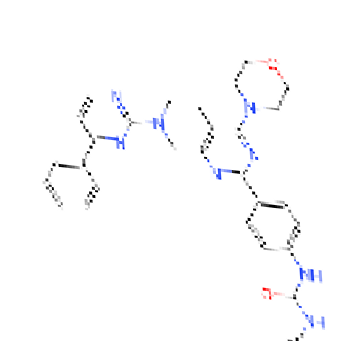 CCNC(=O)Nc1ccc(-c2nc3c(c(N4CCOCC4)n2)CCN(c2nccc(-c4ccccc4)n2)C3)cc1